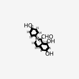 O=CC1c2c(O)cc(O)cc2C=CN1c1ccc(O)cc1